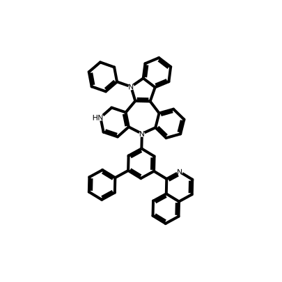 C1=CCCC(n2c3c(c4ccccc42)-c2ccccc2N(c2cc(-c4ccccc4)cc(-c4nccc5ccccc45)c2)C2=C3CNC=C2)=C1